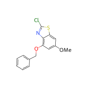 COc1cc(OCc2ccccc2)c2nc(Cl)sc2c1